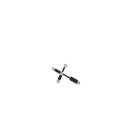 N#CS(=O)(=O)Cl